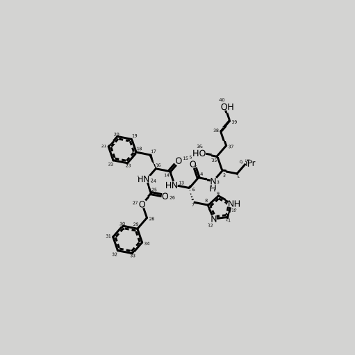 CC(C)CC(NC(=O)[C@H](Cc1c[nH]cn1)NC(=O)[C@H](Cc1ccccc1)NC(=O)OCc1ccccc1)C(O)CCCO